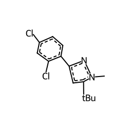 Cn1nc(-c2ccc(Cl)cc2Cl)cc1C(C)(C)C